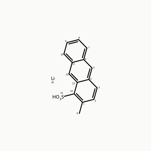 Cc1ccc2cc3ccccc3cc2c1S(=O)(=O)O.[Li]